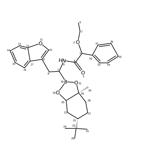 CCOC(C(=O)NC(Cc1coc2ccccc12)B1OC2C[C@@H](C(C)(C)C)CC[C@]2(C)O1)c1ccccc1